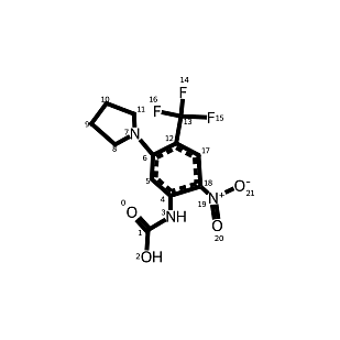 O=C(O)Nc1cc(N2CCCC2)c(C(F)(F)F)cc1[N+](=O)[O-]